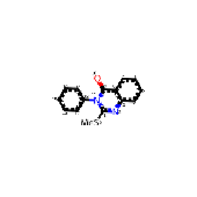 CSc1nc2ccccc2c(=O)n1-c1ccccc1